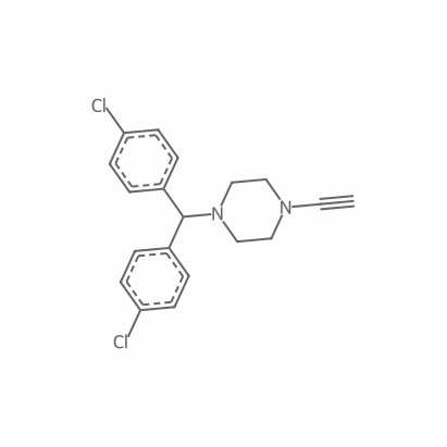 C#CN1CCN(C(c2ccc(Cl)cc2)c2ccc(Cl)cc2)CC1